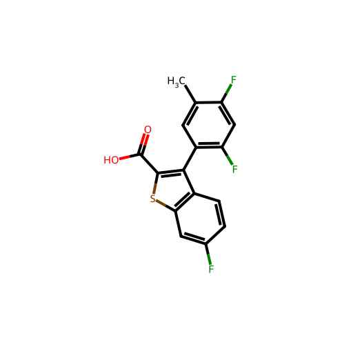 Cc1cc(-c2c(C(=O)O)sc3cc(F)ccc23)c(F)cc1F